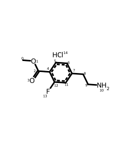 COC(=O)c1ccc(CCN)cc1F.Cl